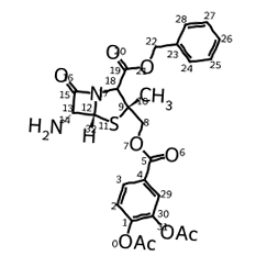 CC(=O)Oc1ccc(C(=O)OC[C@]2(C)S[C@@H]3[C@H](N)C(=O)N3C2C(=O)OCc2ccccc2)cc1OC(C)=O